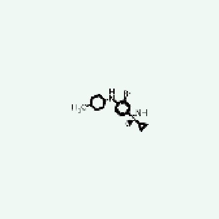 C[C@H]1CC[C@H](Nc2ccc(S(=N)(=O)C3CC3)cc2Br)CC1